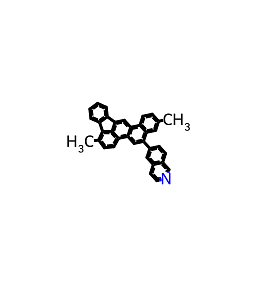 Cc1ccc2c(c1)c(-c1ccc3cnccc3c1)cc1c3ccc(C)c4c3c(cc21)-c1ccccc1-4